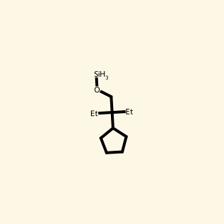 CCC(CC)(CO[SiH3])C1CCCC1